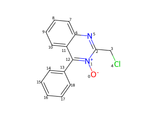 [O-][n+]1c(CCl)nc2ccccc2c1-c1ccccc1